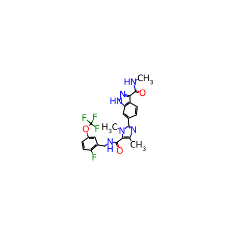 CNC(=O)c1n[nH]c2cc(-c3nc(C)c(C(=O)NCc4cc(OC(F)(F)F)ccc4F)n3C)ccc12